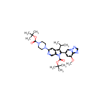 COc1cc(-c2c(C(C)C)c3cc(N4CCN(C(=O)OC(C)(C)C)CC4)ncc3n2C(=O)OC(C)(C)C)cn2ncnc12